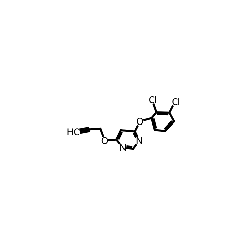 C#CCOc1cc(Oc2cccc(Cl)c2Cl)ncn1